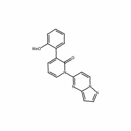 COc1ccccc1-c1cccn(-c2ccn3nccc3n2)c1=O